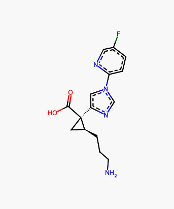 NCCC[C@H]1C[C@]1(C(=O)O)c1cn(-c2ccc(F)cn2)cn1